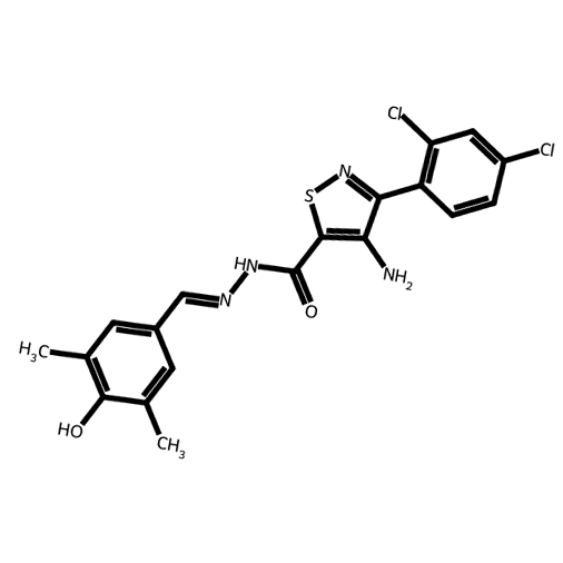 Cc1cc(/C=N/NC(=O)c2snc(-c3ccc(Cl)cc3Cl)c2N)cc(C)c1O